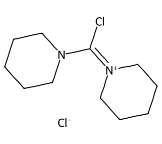 ClC(N1CCCCC1)=[N+]1CCCCC1.[Cl-]